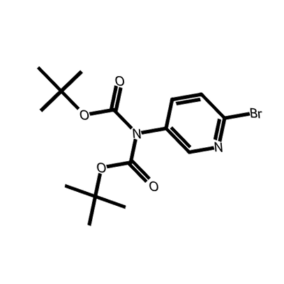 CC(C)(C)OC(=O)N(C(=O)OC(C)(C)C)c1ccc(Br)nc1